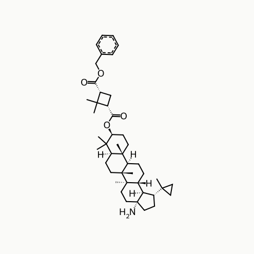 CC1([C@@H]2CC[C@@]3(N)CC[C@]4(C)[C@H](CC[C@@H]5[C@@]6(C)CC[C@H](OC(=O)[C@H]7C[C@@H](C(=O)OCc8ccccc8)C7(C)C)C(C)(C)[C@@H]6CC[C@]54C)[C@@H]23)CC1